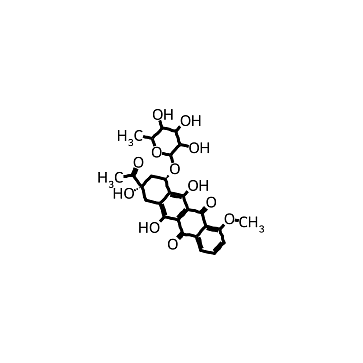 COc1cccc2c1C(=O)c1c(O)c3c(c(O)c1C2=O)C[C@@](O)(C(C)=O)C[C@@H]3OC1OC(C)C(O)C(O)C1O